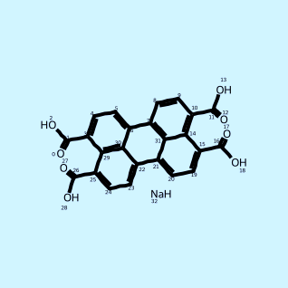 O=C(O)c1ccc2c3ccc(C(=O)O)c4c(C(=O)O)ccc(c5ccc(C(=O)O)c1c25)c43.[NaH]